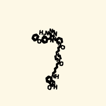 [2H]N1Cc2c(NCCCCCC(=O)N3CCN(CCCC(=O)N4CCC[C@@H](n5nc(-c6ccc(Oc7ccccc7)cc6)c6c(N)ncnc65)C4)CC3)cccc2C1=O